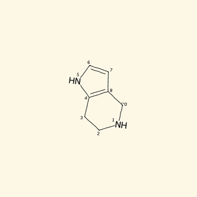 [C]1NCCc2[nH]ccc21